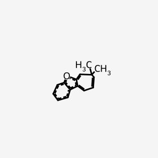 CC1(C)C=CC=c2c(oc3ccccc23)=C1